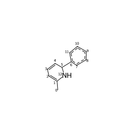 CC1=CC=CC(c2ccccc2)N1